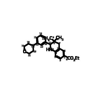 CCOC(=O)c1ccc2c(c1)CC(C)(C)C(c1cccc(N3CCOCC3)c1)N2